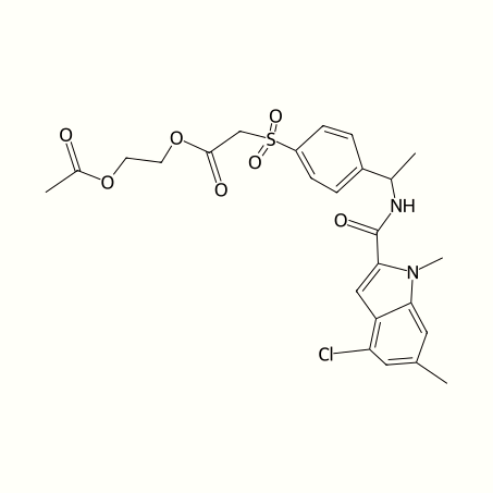 CC(=O)OCCOC(=O)CS(=O)(=O)c1ccc(C(C)NC(=O)c2cc3c(Cl)cc(C)cc3n2C)cc1